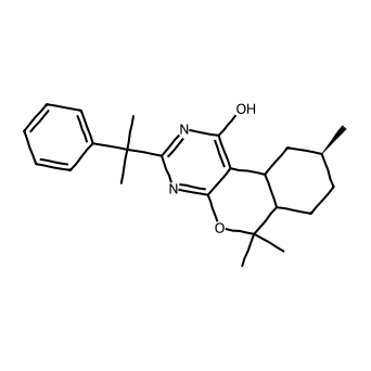 C[C@H]1CCC2C(C1)c1c(O)nc(C(C)(C)c3ccccc3)nc1OC2(C)C